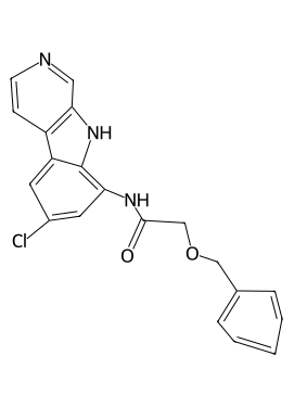 O=C(COCc1ccccc1)Nc1cc(Cl)cc2c1[nH]c1cnccc12